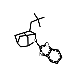 CC(C)(C)CC1C2CC3CC(C2)N(c2nc4ccccc4o2)C1C3